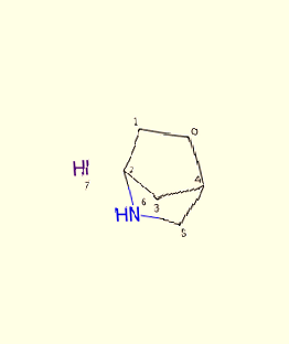 C1CC2CC1CN2.I